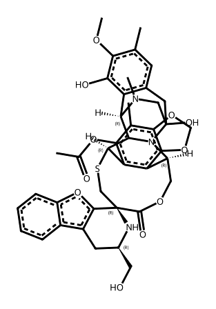 COc1c(C)cc2c(c1O)[C@@H]1C3[C@@H]4SC[C@]5(N[C@@H](CO)Cc6c5oc5ccccc65)C(=O)OC[C@@H](c5c6c(c(C)c(OC(C)=O)c54)OCO6)N3C(O)(C2)CN1C